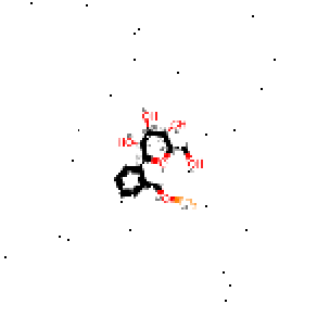 OC[C@H]1O[C@@H](c2ccccc2COP)[C@H](O)[C@@H](O)[C@@H]1O